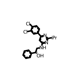 CC(C)c1nc(NC[C@H](O)c2ccccc2)cc(-c2ccc(Cl)c(Cl)c2)n1